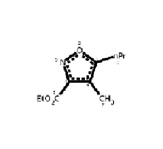 CCCc1onc(C(=O)OCC)c1C